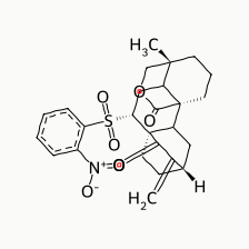 C=C1C(=O)[C@]23CC[C@H]1CC2[C@@]12CCC[C@@](C)(COC1=O)C2C[C@H]3S(=O)(=O)c1ccccc1[N+](=O)[O-]